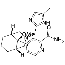 CO[C@]1(c2ccnc(C(N)=O)c2)[C@@H]2CCC[C@H]1CN(Cc1ncc(C)[nH]1)C2